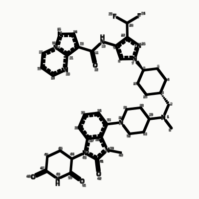 CN(C[C@H]1CC[C@H](n2cc(NC(=O)c3cnn4cccnc34)c(C(F)F)n2)CC1)C1CCN(c2cccc3c2n(C)c(=O)n3C2CCC(=O)NC2=O)CC1